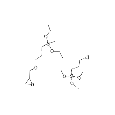 CCO[Si](C)(CCCOCC1CO1)OCC.CO[Si](CCCCl)(OC)OC